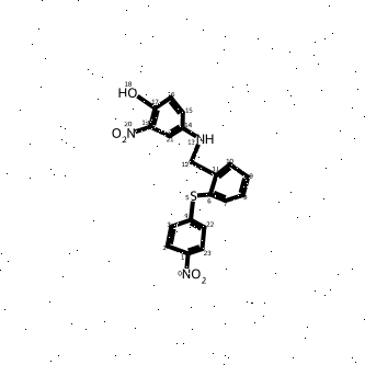 O=[N+]([O-])c1ccc(Sc2ccccc2CNc2ccc(O)c([N+](=O)[O-])c2)cc1